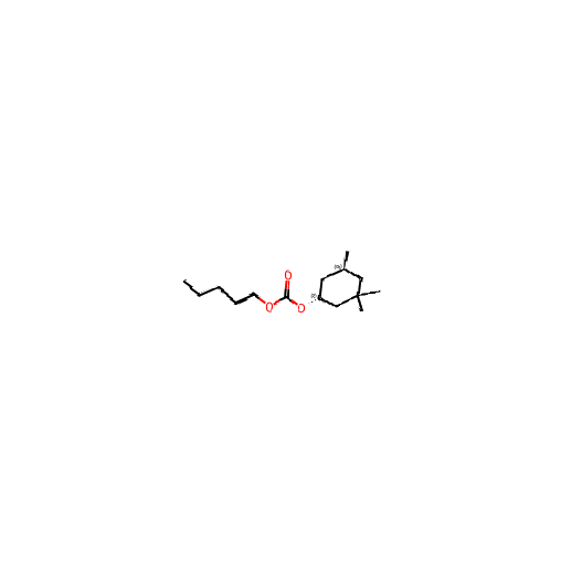 CCCCCOC(=O)O[C@@H]1C[C@@H](C)CC(C)(C)C1